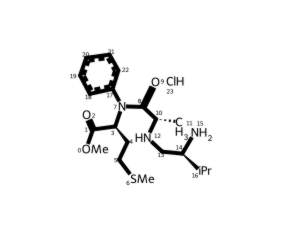 COC(=O)[C@H](CCSC)N(C(=O)[C@H](C)NC[C@@H](N)C(C)C)c1ccccc1.Cl